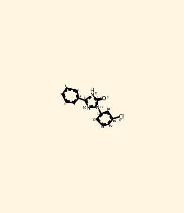 O=c1[nH]c(-c2ccccc2)nn1-c1cccc(Cl)c1